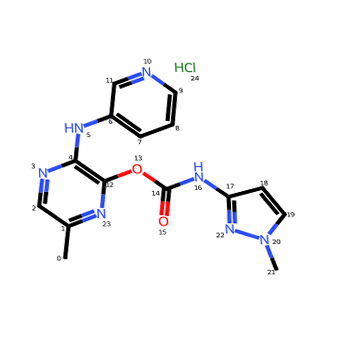 Cc1cnc(Nc2cccnc2)c(OC(=O)Nc2ccn(C)n2)n1.Cl